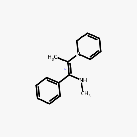 CN/C(=C(/C)N1C=CC=CC1)c1ccccc1